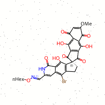 CCCCCCO/N=C/c1cc2c(Br)c3c(c(O)c2c(=O)[nH]1)[C@@]1(CC3)C(=O)c2c(O)c3c(c(O)c2C1=O)C(=O)C(OC)=CC3=O